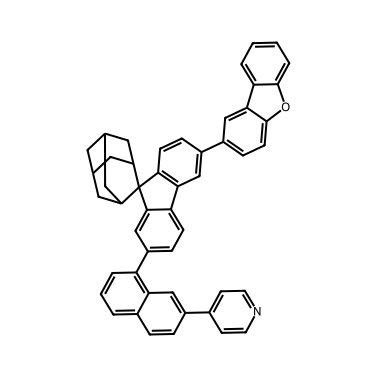 c1cc(-c2ccc3c(c2)C2(c4ccc(-c5ccc6oc7ccccc7c6c5)cc4-3)C3CC4CC(C3)CC2C4)c2cc(-c3ccncc3)ccc2c1